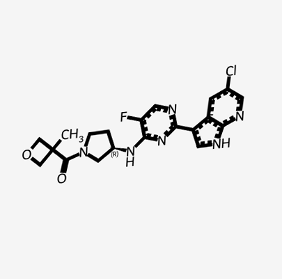 CC1(C(=O)N2CC[C@@H](Nc3nc(-c4c[nH]c5ncc(Cl)cc45)ncc3F)C2)COC1